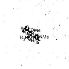 CNc1ccc(Nc2nc(OC)c(-c3cncc4c3ncn4C)nc2C(N)=O)cc1CS